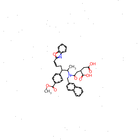 COC(=O)c1ccc(C(C/C=C\c2nc3ccccc3o2)C(C)N(Cc2ccc3ccccc3c2)C(=O)CC(CC(=O)O)C(=O)O)cc1